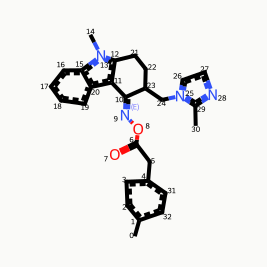 Cc1ccc(CC(=O)O/N=C2/c3c(n(C)c4ccccc34)CCC2Cn2ccnc2C)cc1